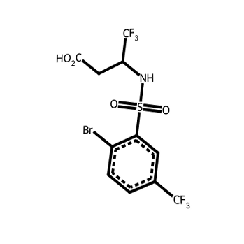 O=C(O)CC(NS(=O)(=O)c1cc(C(F)(F)F)ccc1Br)C(F)(F)F